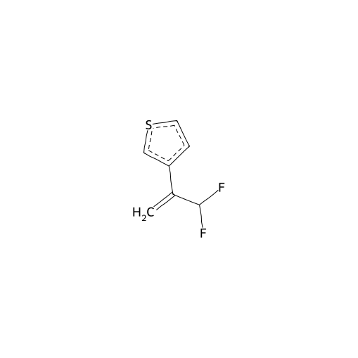 C=C(c1ccsc1)C(F)F